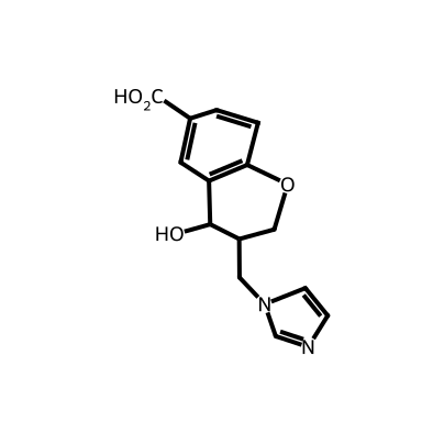 O=C(O)c1ccc2c(c1)C(O)C(Cn1ccnc1)CO2